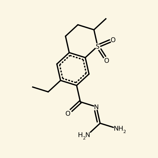 CCc1cc2c(cc1C(=O)N=C(N)N)S(=O)(=O)C(C)CC2